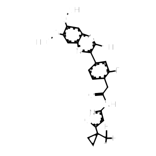 COc1cc2nc(C)c(-c3ccc(CC(=O)Nc4cc(C5(C(F)(F)F)CC5)on4)c(F)c3)nc2cc1OC